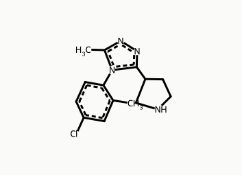 Cc1cc(Cl)ccc1-n1c(C)nnc1C1CCNC1